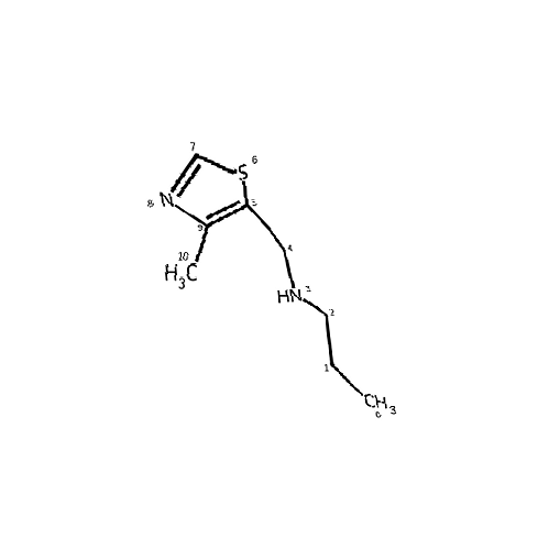 CCCNCc1scnc1C